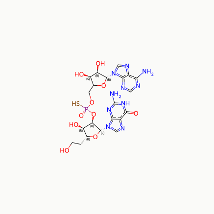 Nc1nc2c(ncn2[C@@H]2O[C@H](CCO)[C@@H](O)[C@H]2OP(=O)(S)OCC2O[C@@H](n3cnc4c(N)ncnc43)[C@H](O)[C@@H]2O)c(=O)[nH]1